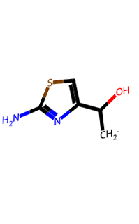 [CH2]C(O)c1csc(N)n1